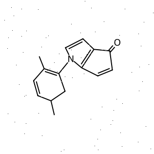 CC1=C(n2ccc3c2C=CC3=O)CC(C)C=C1